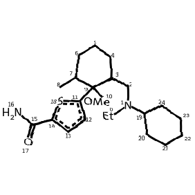 CCN(CC1CCCC(C)C1(OC)c1ccc(C(N)=O)s1)C1CCCCC1